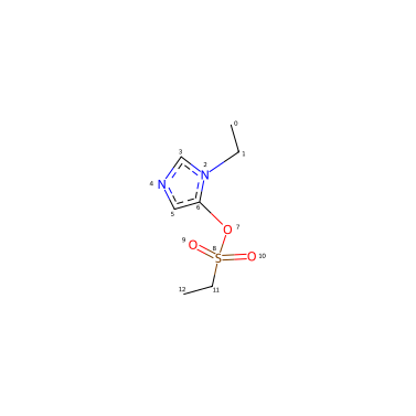 CCn1cncc1OS(=O)(=O)CC